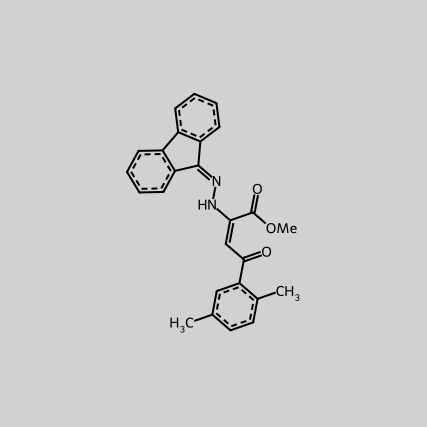 COC(=O)C(=CC(=O)c1cc(C)ccc1C)NN=C1c2ccccc2-c2ccccc21